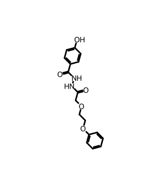 O=C(COCCOc1ccccc1)NNC(=O)c1ccc(O)cc1